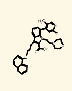 Cc1cnc(F)cc1-c1cccc2c(CCCOc3cccc4ccccc34)c(C(=O)O)n(CCN3CCOCC3)c12